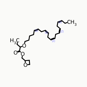 CC/C=C\C/C=C\C/C=C\C/C=C\C/C=C\CCCCOC(CC)C(=O)OCC1CCO1